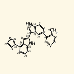 Cc1ccncc1-c1ccc2[nH]nc(-c3cc4c(-c5ccsc5)cccc4[nH]3)c2c1